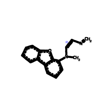 C=N/C=C\N(C)c1cccc2c1oc1ccccc12